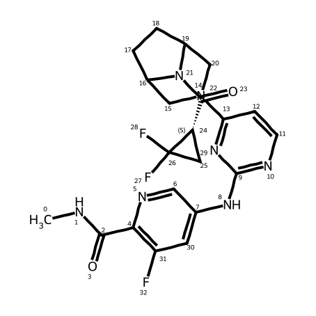 CNC(=O)c1ncc(Nc2nccc(N3CC4CCC(C3)N4C(=O)[C@@H]3CC3(F)F)n2)cc1F